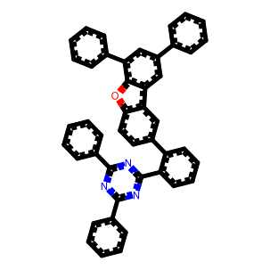 c1ccc(-c2cc(-c3ccccc3)c3oc4ccc(-c5ccccc5-c5nc(-c6ccccc6)nc(-c6ccccc6)n5)cc4c3c2)cc1